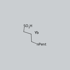 CCCCCCCCS(=O)(=O)O.[Yb]